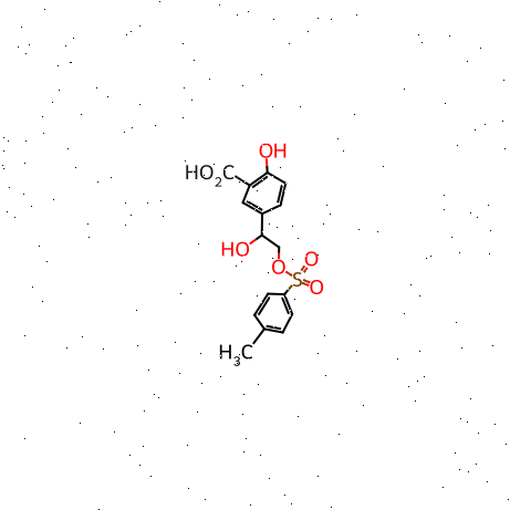 Cc1ccc(S(=O)(=O)OCC(O)c2ccc(O)c(C(=O)O)c2)cc1